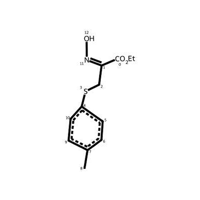 CCOC(=O)C(CSc1ccc(C)cc1)=NO